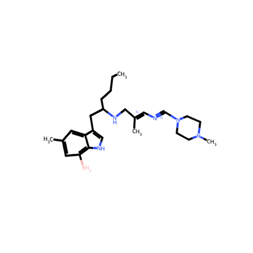 Bc1cc(C)cc2c(CC(CCCC)NC/C(C)=C/N=C/N3CCN(C)CC3)c[nH]c12